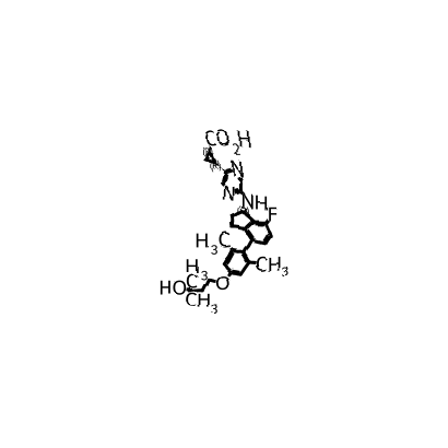 Cc1cc(OCCC(C)(C)O)cc(C)c1-c1ccc(F)c2c1CC[C@H]2Nc1cnc([C@@H]2C[C@H]2C(=O)O)cn1